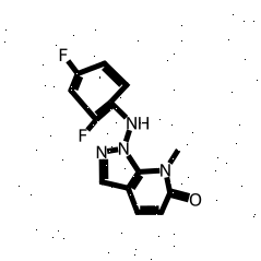 Cn1c(=O)ccc2cnn(Nc3ccc(F)cc3F)c21